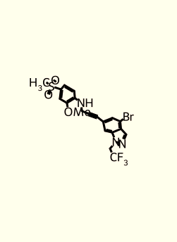 COc1cc(S(C)(=O)=O)ccc1NCC#Cc1cc(Br)c2cnn(CC(F)(F)F)c2c1